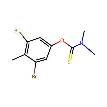 Cc1c(Br)cc(OC(=S)N(C)C)cc1Br